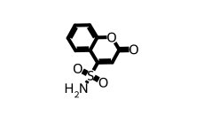 NS(=O)(=O)c1cc(=O)oc2ccccc12